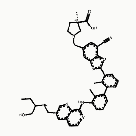 CCC(CO)NCc1cnc2c(Nc3cccc(-c4cccc(-c5nc6cc(CN7CC[C@@](C)(C(=O)O)C7)cc(C#N)c6o5)c4C)c3C)nccc2c1